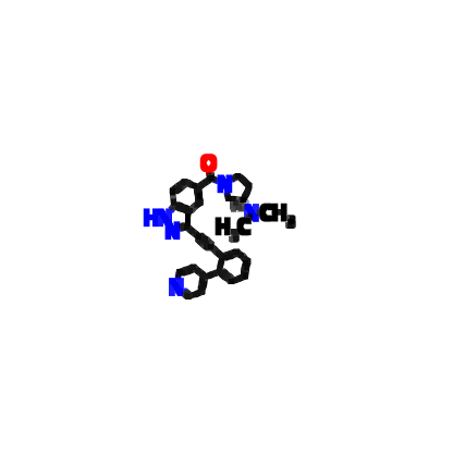 CN(C)[C@H]1CCN(C(=O)c2ccc3[nH]nc(C#Cc4ccccc4-c4ccncc4)c3c2)C1